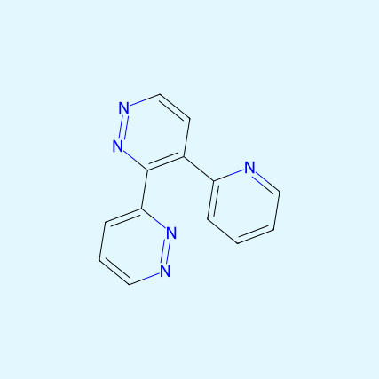 c1ccc(-c2ccnnc2-c2cccnn2)nc1